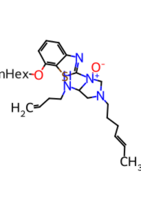 C=CCCNC1CN(CCCC=CC)C[N+]1([O-])c1nc2cccc(OCCCCCC)c2s1